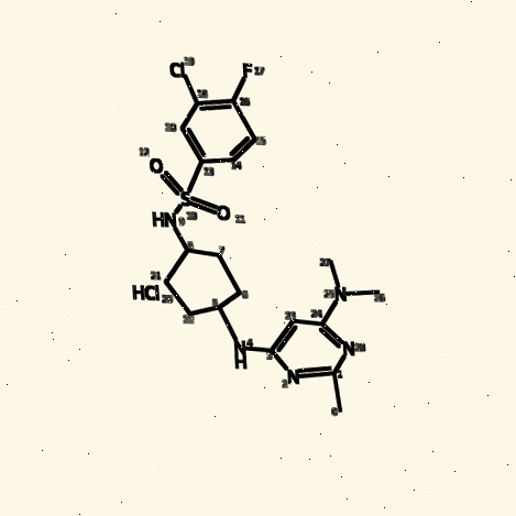 Cc1nc(NC2CCC(NS(=O)(=O)c3ccc(F)c(Cl)c3)CC2)cc(N(C)C)n1.Cl